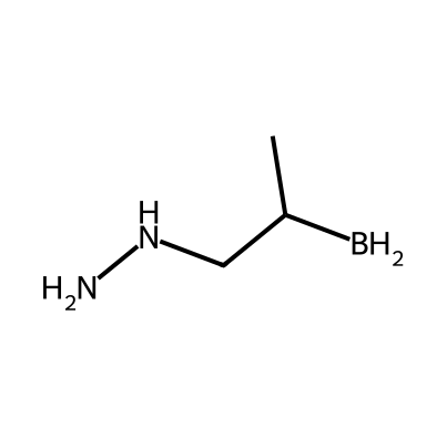 BC(C)CNN